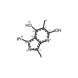 Cc1c(O)nc2c(C)nn(C(C)C)c2c1O